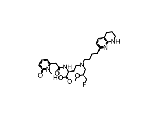 CO[C@H](CF)CN(CCCCc1ccc2c(n1)NCCC2)CC[C@H](NC(=O)Cc1cccc(=O)n1C)C(=O)O